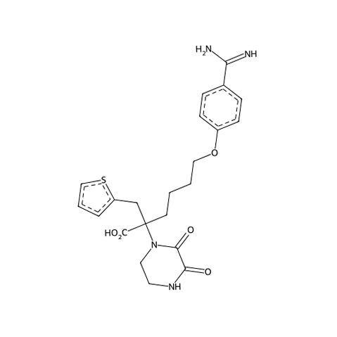 N=C(N)c1ccc(OCCCCC(Cc2cccs2)(C(=O)O)N2CCNC(=O)C2=O)cc1